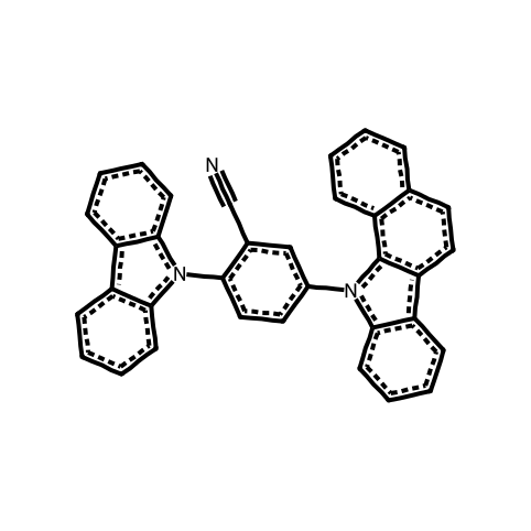 N#Cc1cc(-n2c3ccccc3c3ccc4ccccc4c32)ccc1-n1c2ccccc2c2ccccc21